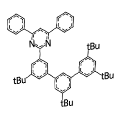 CC(C)(C)c1cc(-c2cc(-c3nc(-c4ccccc4)cc(-c4ccccc4)n3)cc(C(C)(C)C)c2)cc(-c2cc(C(C)(C)C)cc(C(C)(C)C)c2)c1